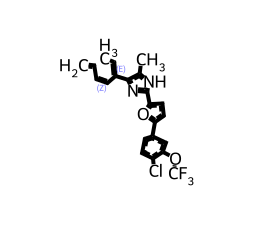 C=C/C=C\C(=C/C)c1nc(-c2ccc(-c3ccc(Cl)c(OC(F)(F)F)c3)o2)[nH]c1C